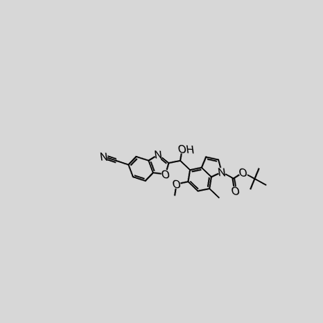 COc1cc(C)c2c(ccn2C(=O)OC(C)(C)C)c1C(O)c1nc2cc(C#N)ccc2o1